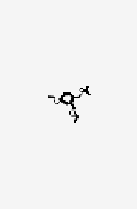 CCOCc1cc(OCC)ccc1CSC(C)C